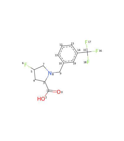 O=C(O)C1CC(F)CN1Cc1cccc(C(F)(F)F)c1